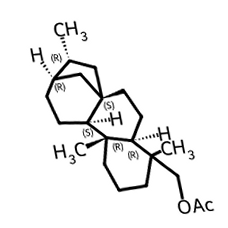 CC(=O)OCC1(C)CCC[C@@]2(C)[C@H]1CC[C@]13C[C@@H](CC[C@@H]12)[C@H](C)C3